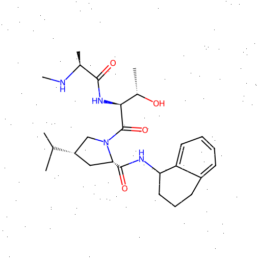 CN[C@@H](C)C(=O)N[C@H](C(=O)N1C[C@@H](C(C)C)C[C@H]1C(=O)NC1CCCc2ccccc21)[C@H](C)O